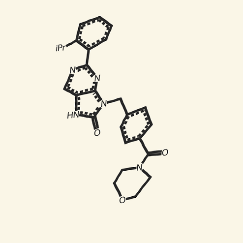 CC(C)c1ccccc1-c1ncc2[nH]c(=O)n(Cc3ccc(C(=O)N4CCOCC4)cc3)c2n1